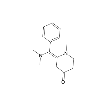 CN(C)C(=C1CC(=O)CCN1C)c1ccccc1